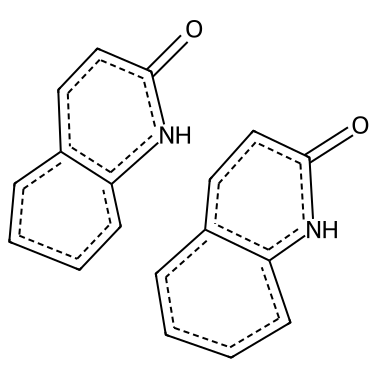 O=c1ccc2ccccc2[nH]1.O=c1ccc2ccccc2[nH]1